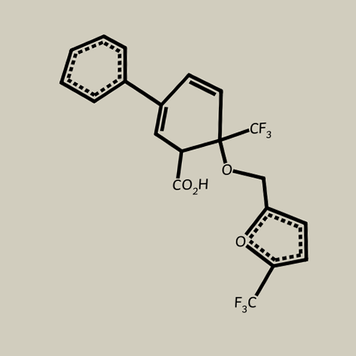 O=C(O)C1C=C(c2ccccc2)C=CC1(OCc1ccc(C(F)(F)F)o1)C(F)(F)F